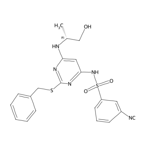 [C-]#[N+]c1cccc(S(=O)(=O)Nc2cc(N[C@H](C)CO)nc(SCc3ccccc3)n2)c1